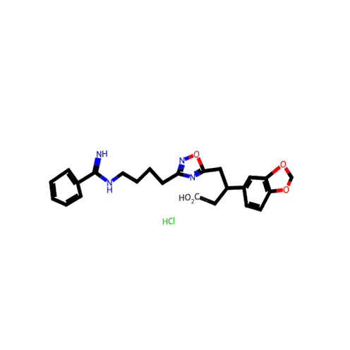 Cl.N=C(NCCCCc1noc(CC(CC(=O)O)c2ccc3c(c2)OCO3)n1)c1ccccc1